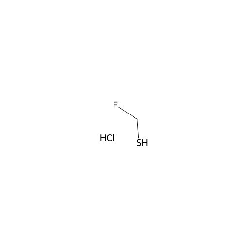 Cl.FCS